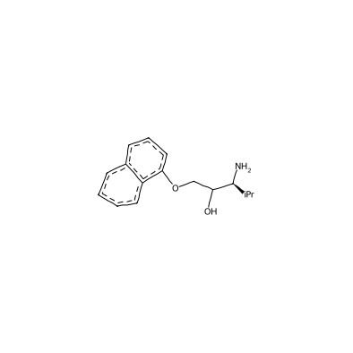 CC(C)[C@H](N)C(O)COc1cccc2ccccc12